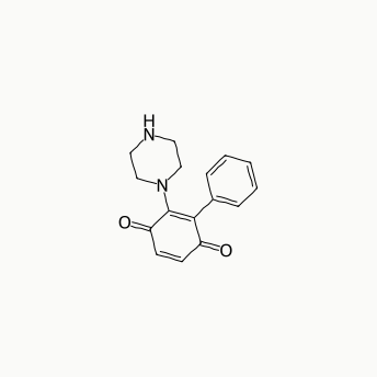 O=C1C=CC(=O)C(N2CCNCC2)=C1c1ccccc1